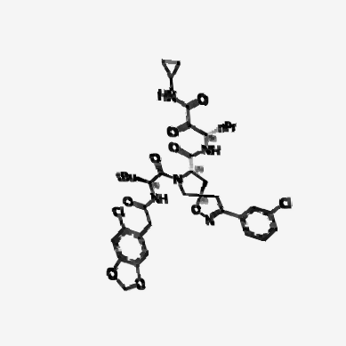 CCC[C@H](NC(=O)[C@@H]1C[C@]2(CC(c3cccc(Cl)c3)=NO2)CN1C(=O)[C@@H](NC(=O)Cc1cc2c(cc1Cl)OCO2)C(C)(C)C)C(=O)C(=O)NC1CC1